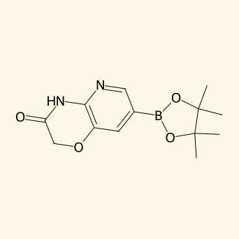 CC1(C)OB(c2cnc3c(c2)OCC(=O)N3)OC1(C)C